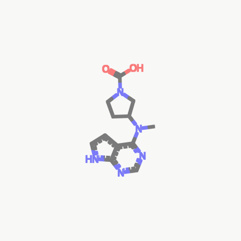 CN(c1ncnc2[nH]ccc12)C1CCN(C(=O)O)C1